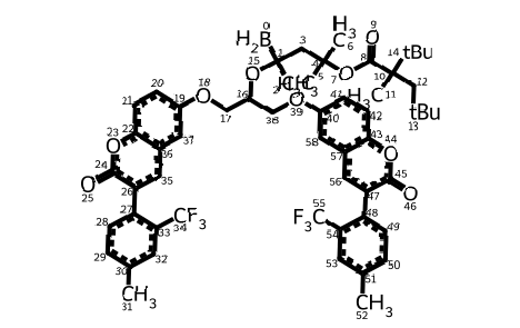 BC(C)(CC(C)(C)OC(=O)C(C)(CC(C)(C)C)C(C)(C)C)OC(COc1ccc2oc(=O)c(-c3ccc(C)cc3C(F)(F)F)cc2c1)COc1ccc2oc(=O)c(-c3ccc(C)cc3C(F)(F)F)cc2c1